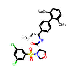 COc1cccc(OC)c1-c1ccc([C@@H](CC(=O)O)NC(=O)[C@@H]2COCN2S(=O)(=O)c2cc(Cl)cc(Cl)c2)cc1